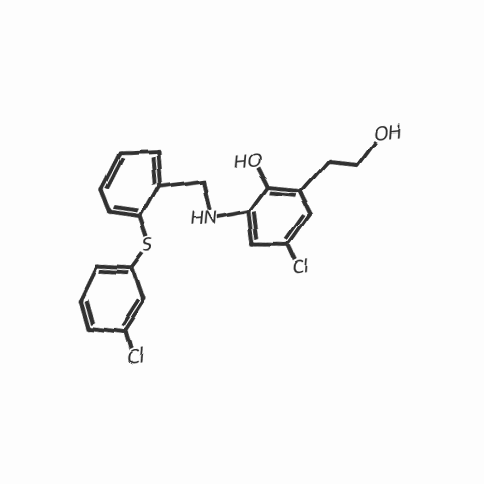 OCCc1cc(Cl)cc(NCc2ccccc2Sc2cccc(Cl)c2)c1O